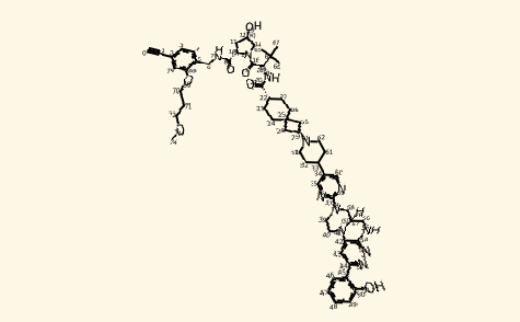 C#Cc1ccc(CNC(=O)[C@@H]2C[C@@H](O)CN2C(=O)[C@@H](NC(=O)[C@H]2CCC3(CC2)C[C@H](N2CCC(c4cnc(N5CCN6c7cc(-c8ccccc8O)nnc7NC[C@H]6C5)nc4)CC2)C3)C(C)(C)C)c(OCCCOC)c1